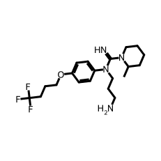 CC1CCCCN1C(=N)N(CCCN)c1ccc(OCCCC(F)(F)F)cc1